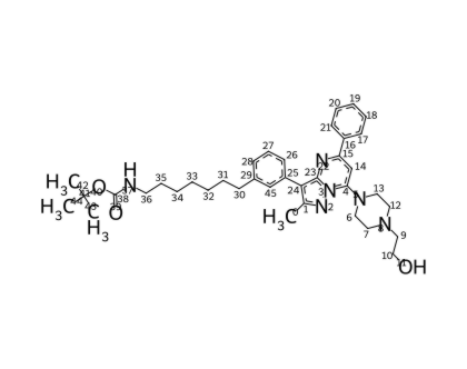 Cc1nn2c(N3CCN(CCO)CC3)cc(-c3ccccc3)nc2c1-c1cccc(CCCCCCCNC(=O)OC(C)(C)C)c1